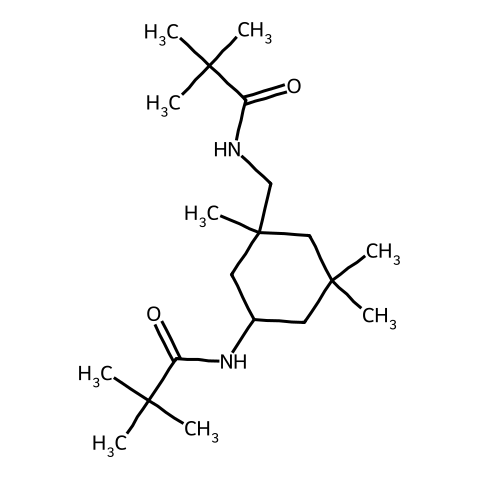 CC1(C)CC(NC(=O)C(C)(C)C)CC(C)(CNC(=O)C(C)(C)C)C1